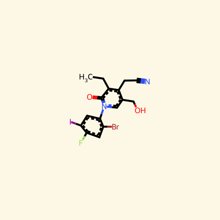 CCc1c(CC#N)c(CO)cn(-c2cc(I)c(F)cc2Br)c1=O